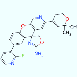 CC1(C)C=C(c2cc3c(cn2)Oc2ccc(-c4cccnc4F)cc2[C@@]32COC(N)=N2)CCO1